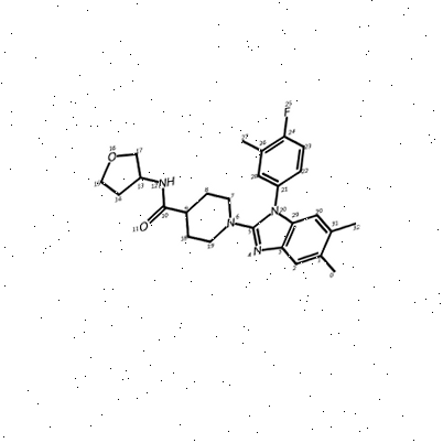 Cc1cc2nc(N3CCC(C(=O)NC4CCOC4)CC3)n(-c3ccc(F)c(C)c3)c2cc1C